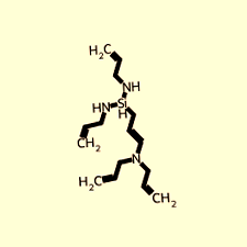 C=CCN[SiH](CC=CN(CC=C)CC=C)NCC=C